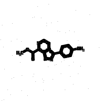 COC(=O)c1nccn2c(-c3ccc(N)cc3)nnc12